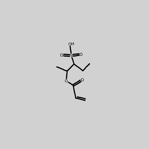 C=CC(=O)OC(C)C(CC)S(=O)(=O)O